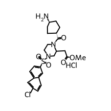 COC(=O)CC1CN(S(=O)(=O)c2ccc3cc(Cl)ccc3c2)CCN1C(=O)[C@H]1CC[C@H](N)CC1.Cl